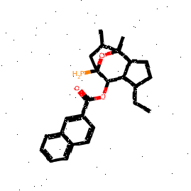 CCC1CCC2C1C(OC(=O)c1ccc3ccccc3c1)C1(P)CC(C)C2(C)O1